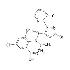 CC(C)N(C(=O)c1cc(Br)nn1-c1ncccc1Cl)c1c(Br)cc(Cl)cc1C(=O)O